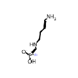 NC=CCCN/C=[P+](\[O-])O